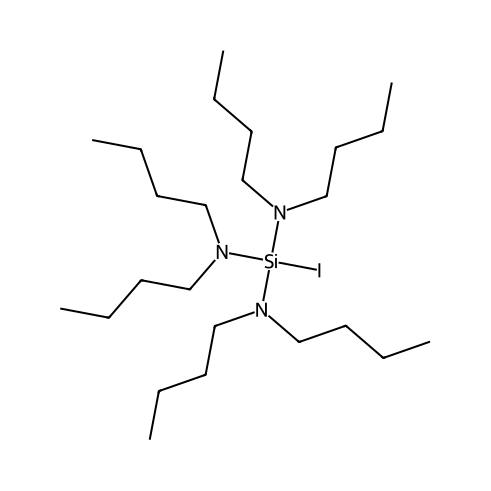 CCCCN(CCCC)[Si](I)(N(CCCC)CCCC)N(CCCC)CCCC